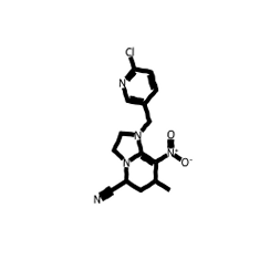 CC1CC(C#N)N2CCN(Cc3ccc(Cl)nc3)C2=C1[N+](=O)[O-]